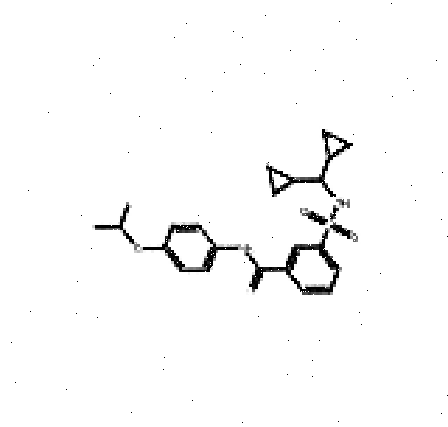 CC(C)Oc1ccc(NC(=O)c2cccc(S(=O)(=O)NC(C3CC3)C3CC3)c2)cc1